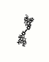 COC(=O)N[C@H](C(=O)N1CC2(CC2)C[C@H]1c1ncc(-c2ccc(C#Cc3ccc4nc([C@@H]5C[C@]6(CCCO6)CN5C(=O)[C@@H](NC(=O)OC)C(C)C)[nH]c4c3)cc2)[nH]1)C(C)C